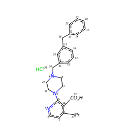 CC(C)c1ccnc(N2CCN(Cc3cccc(Cc4ccccc4)c3)CC2)c1C(=O)O.Cl